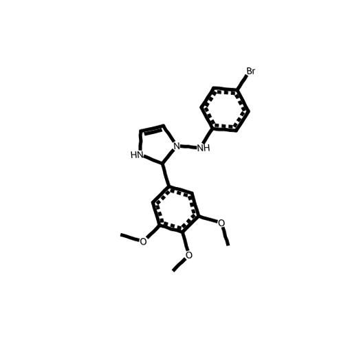 COc1cc(C2NC=CN2Nc2ccc(Br)cc2)cc(OC)c1OC